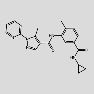 Cc1ccc(C(=O)NC2CC2)cc1NC(=O)c1cnn(-c2ccccn2)c1C